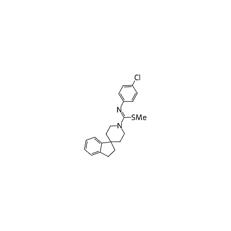 CSC(=Nc1ccc(Cl)cc1)N1CCC2(CCc3ccccc32)CC1